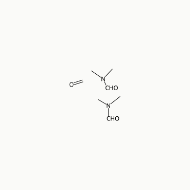 C=O.CN(C)C=O.CN(C)C=O